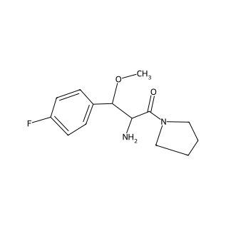 COC(c1ccc(F)cc1)C(N)C(=O)N1CCCC1